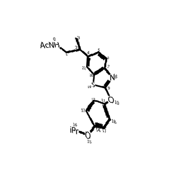 CC(=O)NCC(C)c1ccc2nc(Oc3ccc(OC(C)C)cc3)sc2c1